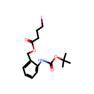 CC(C)(C)OC(=O)Nc1ccccc1COC(=O)CCCI